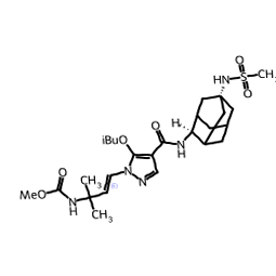 COC(=O)NC(C)(C)/C=C/n1ncc(C(=O)N[C@H]2C3CC4CC2C[C@](NS(C)(=O)=O)(C4)C3)c1OCC(C)C